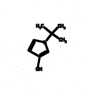 CC(C)(C)n1ccc(O)c1